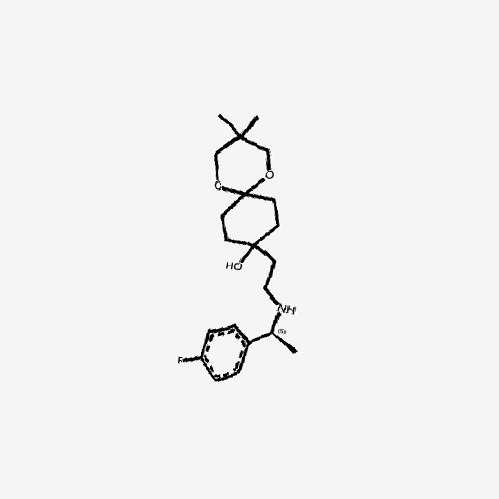 C[C@H](NCCC1(O)CCC2(CC1)OCC(C)(C)CO2)c1ccc(F)cc1